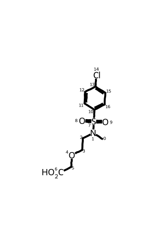 CN(CCOCC(=O)O)S(=O)(=O)c1ccc(Cl)cc1